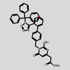 CCCCc1nc(CC(=O)OC)cc(=O)n1Cc1ccc(-c2ccccc2-c2nnnn2C(c2ccccc2)(c2ccccc2)c2ccccc2)cc1